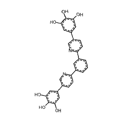 Oc1cc(-c2ccc(-c3cccc(-c4ccc(-c5cc(O)c(O)c(O)c5)cn4)c3)nc2)cc(O)c1O